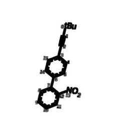 CC(C)(C)C#Cc1ccc(-c2ccccc2[N+](=O)[O-])cc1